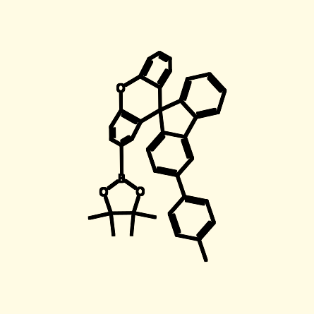 Cc1ccc(-c2ccc3c(c2)-c2ccccc2C32c3ccccc3Oc3ccc(B4OC(C)(C)C(C)(C)O4)cc32)cc1